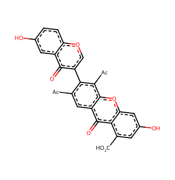 CC(=O)c1cc2c(=O)c3c(C(=O)O)cc(O)cc3oc2c(C(C)=O)c1-c1coc2ccc(O)cc2c1=O